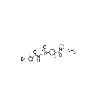 Cc1cc(N2CC(NC(=O)c3ccc(Br)s3)CC2=O)ccc1C(=O)N1CCC[C@@H]1CN